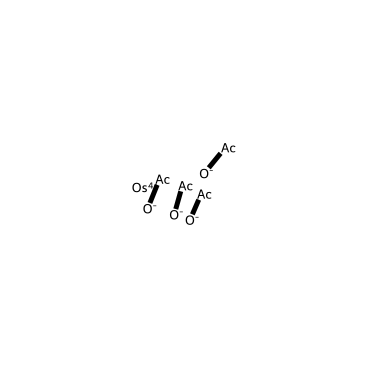 CC(=O)[O-].CC(=O)[O-].CC(=O)[O-].CC(=O)[O-].[Os+4]